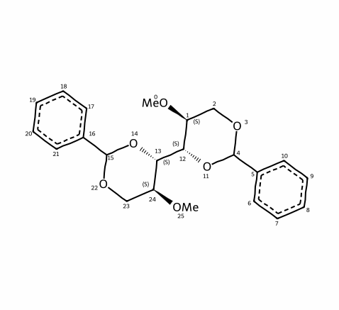 CO[C@H]1COC(c2ccccc2)O[C@@H]1[C@H]1OC(c2ccccc2)OC[C@@H]1OC